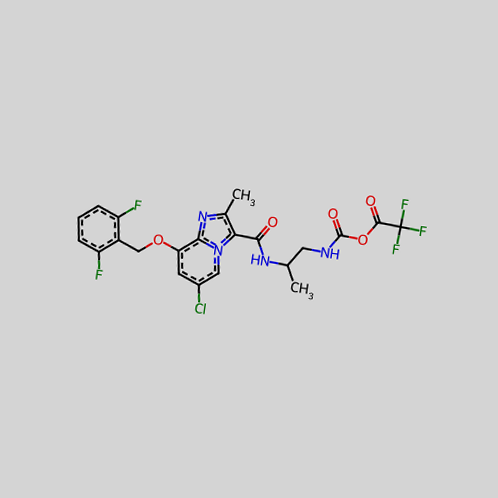 Cc1nc2c(OCc3c(F)cccc3F)cc(Cl)cn2c1C(=O)NC(C)CNC(=O)OC(=O)C(F)(F)F